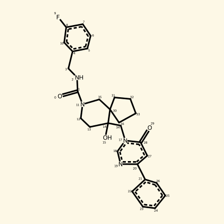 O=C(NCc1cccc(F)c1)N1CCC(O)(Cn2cnc(-c3ccccc3)cc2=O)C2(CCCC2)C1